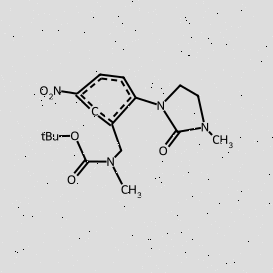 CN(Cc1cc([N+](=O)[O-])ccc1N1CCN(C)C1=O)C(=O)OC(C)(C)C